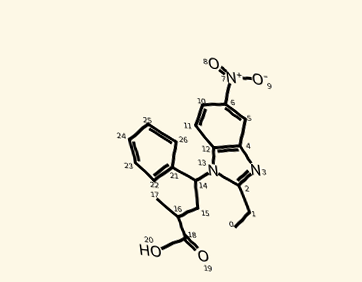 CCc1nc2cc([N+](=O)[O-])ccc2n1C(CC(C)C(=O)O)c1ccccc1